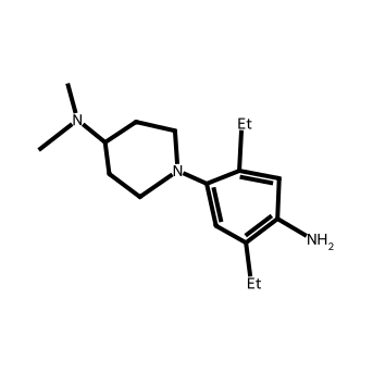 CCc1cc(N2CCC(N(C)C)CC2)c(CC)cc1N